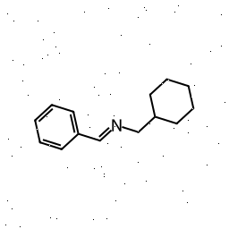 C(=NCC1CCCCC1)c1ccccc1